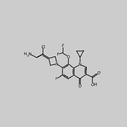 NCC(Cl)=C1CN(c2c(F)cc3c(=O)c(C(=O)O)cn(C4CC4)c3c2OC(F)F)C1